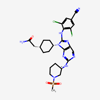 CS(=O)(=O)N1CCC[C@@H](Nc2ncc3nc(Nc4c(F)cc(C#N)cc4Cl)n([C@H]4CC[C@@H](CC(N)=O)CC4)c3n2)C1